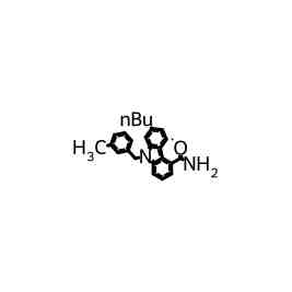 CCCCc1c[c]c2c3c(C(N)=O)cccc3n(Cc3cccc(C)c3)c2c1